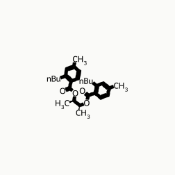 CCCCc1cc(C)ccc1C(=O)O[C@H](C)[C@@H](C)OC(=O)c1ccc(C)cc1CCCC